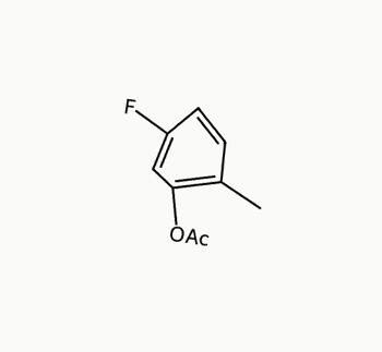 CC(=O)Oc1cc(F)ccc1C